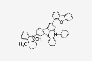 CC12CCCCC1(C)N(c1ccc3c(c1)B1c4ccccc4N(c4ccccc4)c4cc(-c5cccc6c5oc5ccccc56)cc-3c41)c1ccccc12